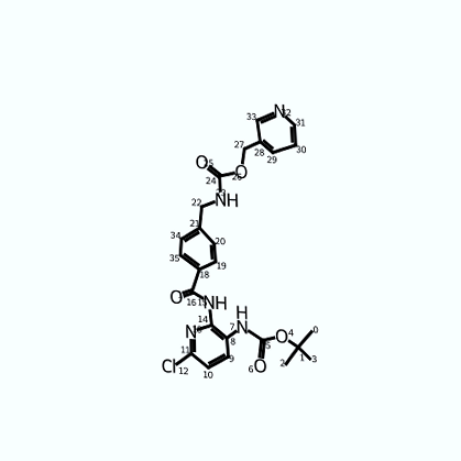 CC(C)(C)OC(=O)Nc1ccc(Cl)nc1NC(=O)c1ccc(CNC(=O)OCc2cccnc2)cc1